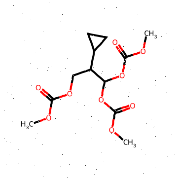 COC(=O)OCC(C1CC1)C(OC(=O)OC)OC(=O)OC